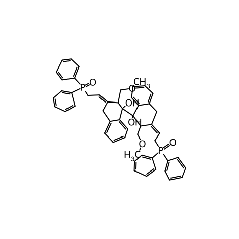 COCC1C(=CCP(=O)(c2ccccc2)c2ccccc2)Cc2ccccc2C1(O)C1(O)c2ccccc2CC(=CCP(=O)(c2ccccc2)c2ccccc2)C1COC